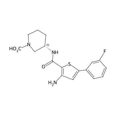 Nc1cc(-c2cccc(F)c2)sc1C(=O)N[C@H]1CCCN(C(=O)O)C1